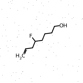 C=CCC(F)CCCCO